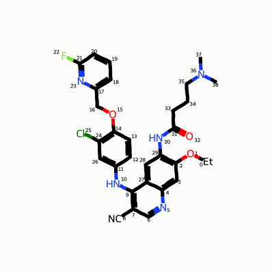 CCOc1cc2ncc(C#N)c(Nc3ccc(OCc4cccc(F)n4)c(Cl)c3)c2cc1NC(=O)CCCN(C)C